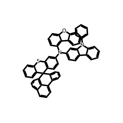 c1ccc(-n2c3ccccc3c3ccc(N(c4ccc5c(c4)Sc4ccccc4C54c5ccccc5-c5cccc6cccc4c56)c4cccc5oc6ccccc6c45)cc32)cc1